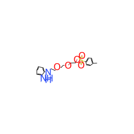 CNc1ccccc1NCCOCCOCCOS(=O)(=O)c1ccc(C)cc1